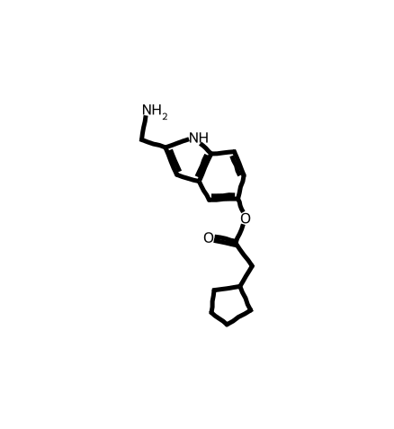 NCc1cc2cc(OC(=O)CC3CCCC3)ccc2[nH]1